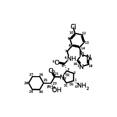 N[C@H]1C[C@@H](C(=O)NCc2cc(Cl)ccc2-n2cncn2)N(C(=O)[C@H](O)C2CCCCC2)C1